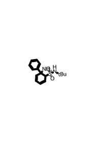 CC(C)(C)NS(=O)(=O)C1C=CC=CC1(N)c1ccccc1